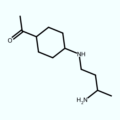 CC(=O)C1CCC(NCCC(C)N)CC1